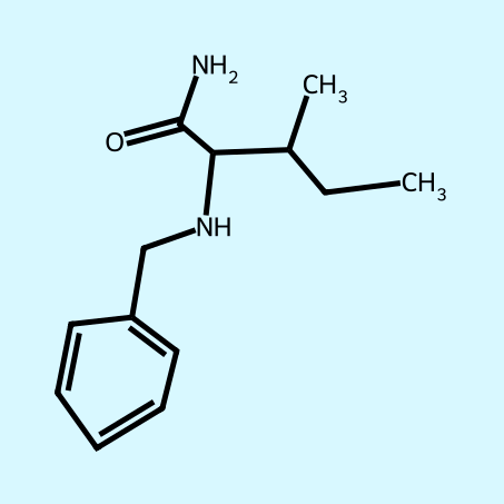 CCC(C)C(NCc1ccccc1)C(N)=O